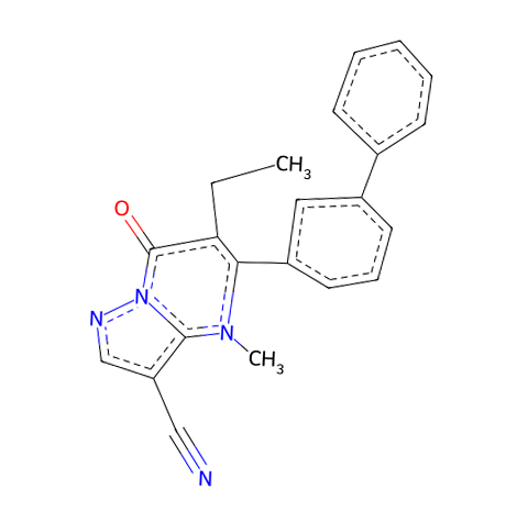 CCc1c(-c2cccc(-c3ccccc3)c2)n(C)c2c(C#N)cnn2c1=O